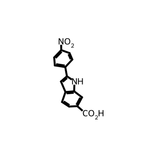 O=C(O)c1ccc2cc(-c3ccc([N+](=O)[O-])cc3)[nH]c2c1